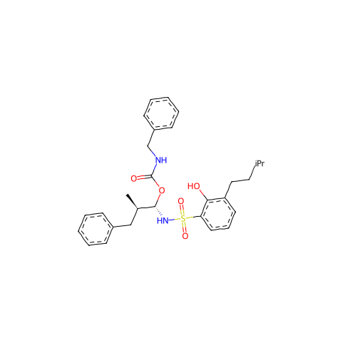 CC(C)CCc1cccc(S(=O)(=O)N[C@@H](OC(=O)NCc2ccccc2)[C@H](C)Cc2ccccc2)c1O